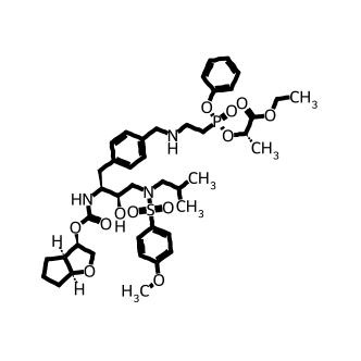 CCOC(=O)[C@H](C)OP(=O)(CCNCc1ccc(C[C@H](NC(=O)O[C@H]2CO[C@H]3CCC[C@H]32)[C@H](O)CN(CC(C)C)S(=O)(=O)c2ccc(OC)cc2)cc1)Oc1ccccc1